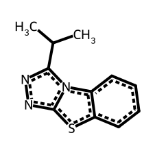 CC(C)c1nnc2sc3ccccc3n12